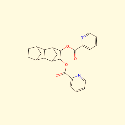 O=C(OC1C2CC(C1OC(=O)c1ccccn1)C1C3CCC(C3)C21)c1ccccn1